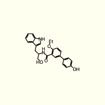 CCOc1ccc(-c2ccc(O)cc2)cc1C(=O)NC(CO)Cc1c[nH]c2ccccc12